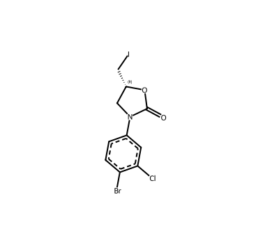 O=C1O[C@@H](CI)CN1c1ccc(Br)c(Cl)c1